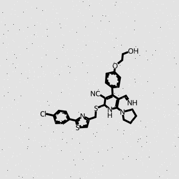 N#CC1=C(c2ccc(OCCO)cc2)C(C=N)=C(N2CCCC2)NC1SCc1csc(-c2ccc(Cl)cc2)n1